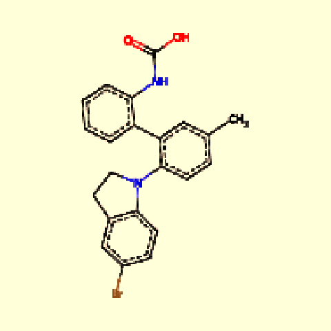 Cc1ccc(N2CCc3cc(Br)ccc32)c(-c2ccccc2NC(=O)O)c1